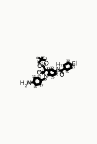 CC1(C)COC(C2C(=O)N(Cc3ccc(N)cc3)c3ccc(NC(=O)c4ccc(Cl)cc4)cc32)OC1